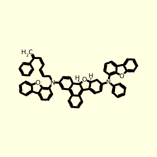 C=C(/C=C\C=C/CN(C1=CC2=c3ccccc3=C3C4=CC=C(N(c5ccccc5)c5cccc6c5oc5ccccc56)C[C@@H]4O[C@@H]3C2C=C1)c1cccc2c1oc1ccccc12)c1ccccc1